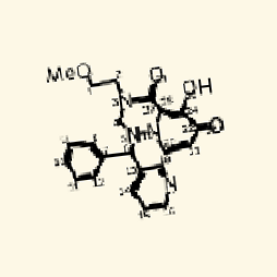 COCCN1CN(C(c2ccccc2)c2cccnc2)n2ccc(=O)c(O)c2C1=O